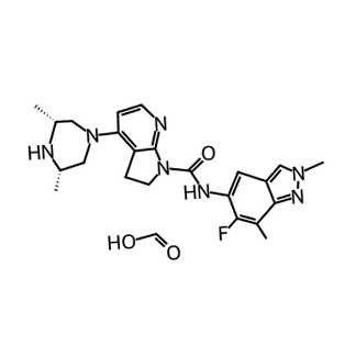 Cc1c(F)c(NC(=O)N2CCc3c(N4C[C@@H](C)N[C@@H](C)C4)ccnc32)cc2cn(C)nc12.O=CO